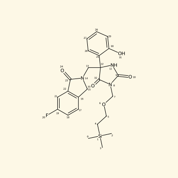 C[Si](C)(C)CCOCN1C(=O)NC(CN2Cc3ccc(F)cc3C2=O)(c2ccccc2O)C1=O